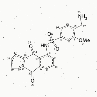 COc1cc(S(=O)(=O)Nc2cccc3c2C(=O)c2ccccc2C3=O)ccc1CN